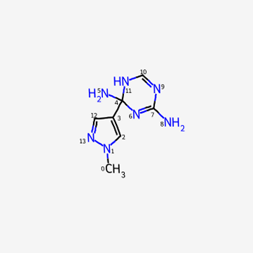 Cn1cc(C2(N)N=C(N)N=CN2)cn1